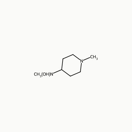 CN1CCC(N(C)O)CC1